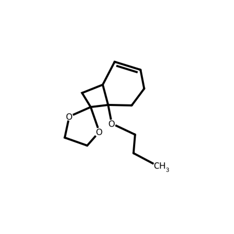 CCCOC12CCC=CC1CC21OCCO1